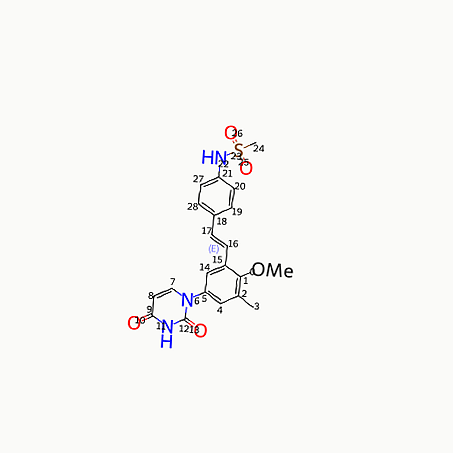 COc1c(C)cc(-n2ccc(=O)[nH]c2=O)cc1/C=C/c1ccc(NS(C)(=O)=O)cc1